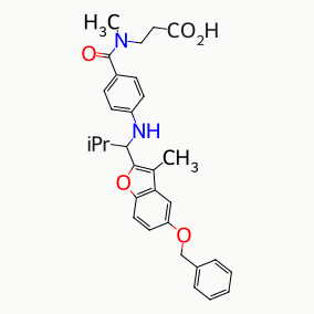 Cc1c(C(Nc2ccc(C(=O)N(C)CCC(=O)O)cc2)C(C)C)oc2ccc(OCc3ccccc3)cc12